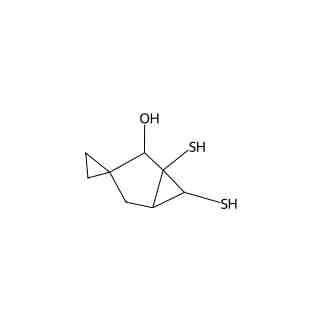 OC1C2(CC2)CC2C(S)C21S